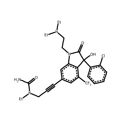 CCN(CC)CCN1C(=O)C(O)(c2ccccc2Cl)c2c1cc(C#CCN(CC)C(N)=O)cc2C(F)(F)F